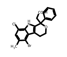 Cc1cc(Cl)c2[nH]c3c(c2c1Br)CCOC3(CC(=O)O)c1ccccc1